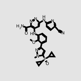 COc1c(Nc2cc(Nc3ccc(C#N)cn3)nnc2C(N)=O)cccc1-c1cc(P(=O)(C2CC2)C2CC2)n(C)n1